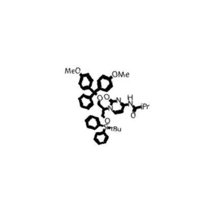 COc1ccc(C(OCC(CO[Si](c2ccccc2)(c2ccccc2)C(C)(C)C)n2ccc(NC(=O)C(C)C)nc2=O)(c2ccccc2)c2ccc(OC)cc2)cc1